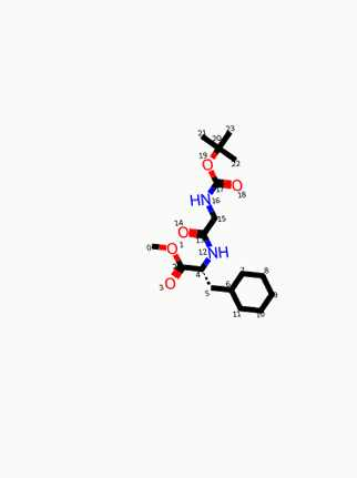 COC(=O)[C@@H](CC1CCCCC1)NC(=O)CNC(=O)OC(C)(C)C